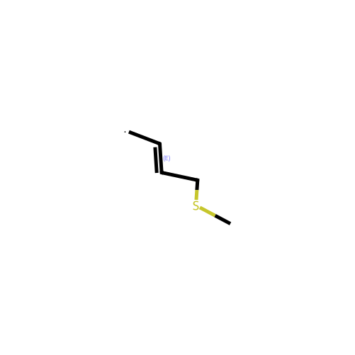 [CH2]/C=C/CSC